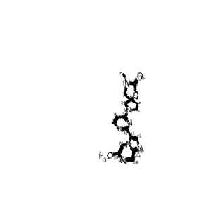 CN1CC2(CCN(c3ccnc(-c4cnc5cnc(C(F)(F)F)cn45)n3)C2)OC1=O